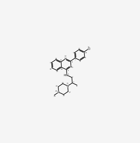 CC(CNc1nc(-c2ccc(Cl)cc2)nc2ccccc12)N1CCN(C)CC1